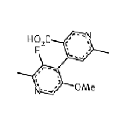 COc1cnc(C)c(F)c1-c1cc(C)ncc1C(=O)O